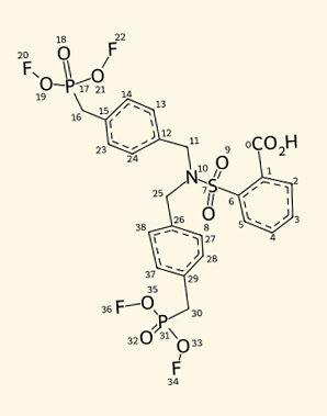 O=C(O)c1ccccc1S(=O)(=O)N(Cc1ccc(CP(=O)(OF)OF)cc1)Cc1ccc(CP(=O)(OF)OF)cc1